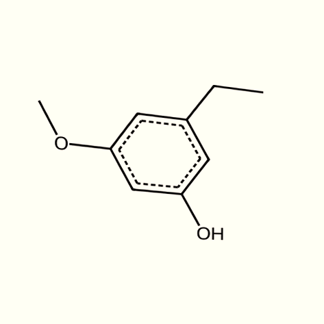 CCc1cc(O)cc(OC)c1